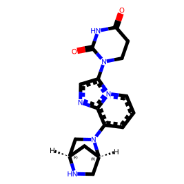 O=C1CCN(c2cnc3c(N4C[C@H]5C[C@@H]4CN5)cccn23)C(=O)N1